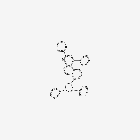 C1=C(c2ccccc2)C(c2cccc3c2ccc2nc(-c4ccccc4)cc(-c4ccccc4)c23)CC1c1ccccc1